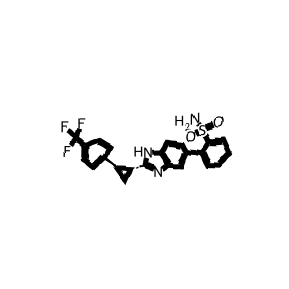 NS(=O)(=O)c1ccccc1-c1ccc2[nH]c([C@@H]3C[C@H]3c3ccc(C(F)(F)F)cc3)nc2c1